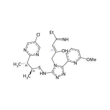 CCC(=N)/C=C(\O)Cn1c(NS[C@@H](C)[C@H](C)c2ncc(Cl)cn2)nnc1-c1cccc(OC)n1